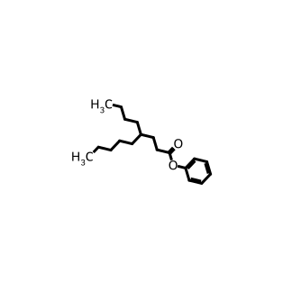 CCCCCC(CCCC)CCC(=O)Oc1ccccc1